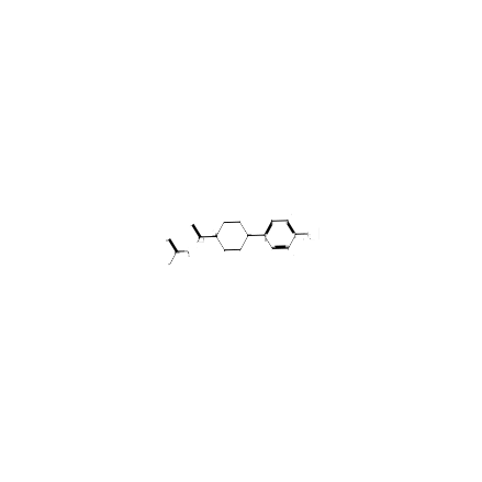 C=C(C)OC(=C)C1CCC(c2ccc(Cl)cc2)CC1